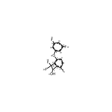 OC1c2c(I)ccc(Oc3cc(F)cc(F)c3)c2C1(F)F